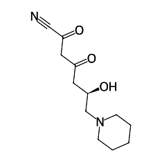 N#CC(=O)CC(=O)C[C@@H](O)CN1CCCCC1